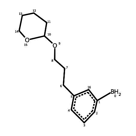 Bc1cccc(CCCOC2CCCCO2)c1